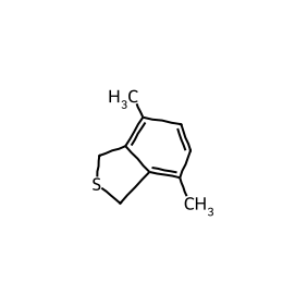 Cc1ccc(C)c2c1CSC2